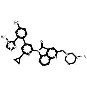 C[C@H]1CCCN(Cc2cc3c4c(cccc4n2)N(c2cc(-c4ccc(C#N)cc4-c4nncn4C)cc(C4CC4)n2)C3=O)C1